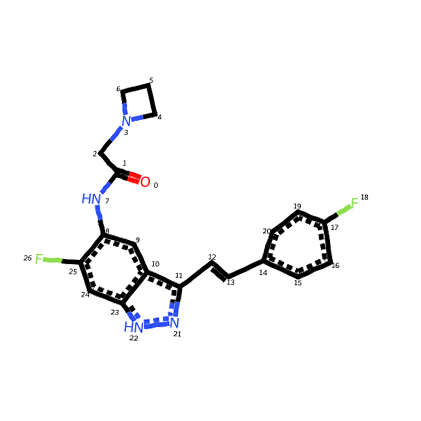 O=C(CN1CCC1)Nc1cc2c(C=Cc3ccc(F)cc3)n[nH]c2cc1F